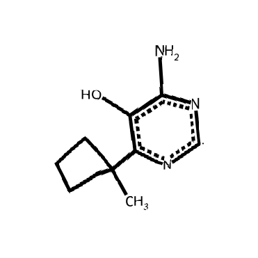 CC1(c2n[c]nc(N)c2O)CCC1